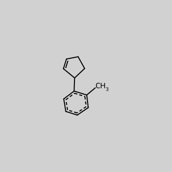 Cc1ccccc1C1C=CCC1